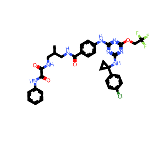 CC(CNC(=O)C(=O)Nc1ccccc1)CNC(=O)c1ccc(Nc2nc(NC3(c4ccc(Cl)cc4)CC3)nc(OCC(F)(F)F)n2)cc1